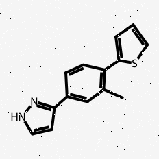 Cc1cc(-c2cc[nH]n2)ccc1-c1cccs1